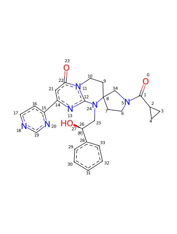 O=C(C1CC1)N1CCC2(CCn3c(nc(-c4ccncn4)cc3=O)N2C[C@H](O)c2ccccc2)C1